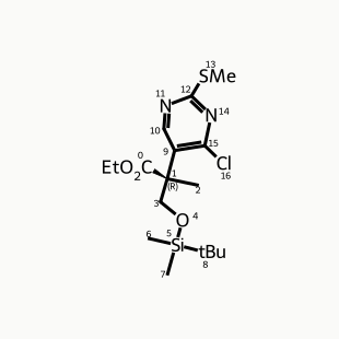 CCOC(=O)[C@@](C)(CO[Si](C)(C)C(C)(C)C)c1cnc(SC)nc1Cl